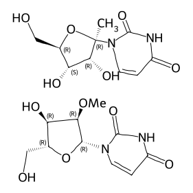 CO[C@@H]1[C@H](O)[C@@H](CO)O[C@H]1n1ccc(=O)[nH]c1=O.C[C@@]1(n2ccc(=O)[nH]c2=O)O[C@H](CO)[C@@H](O)[C@H]1O